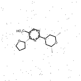 C[C@@H]1CN(c2ncc(C(=O)O)c([C@@H]3CCCO3)n2)C[C@H](C)O1